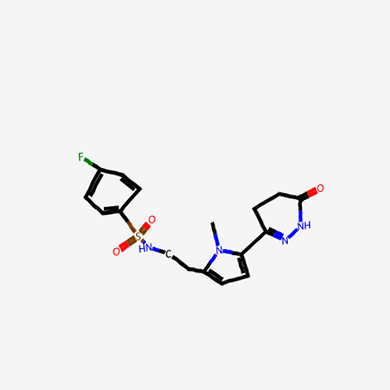 Cn1c(CCNS(=O)(=O)c2ccc(F)cc2)ccc1C1=NNC(=O)CC1